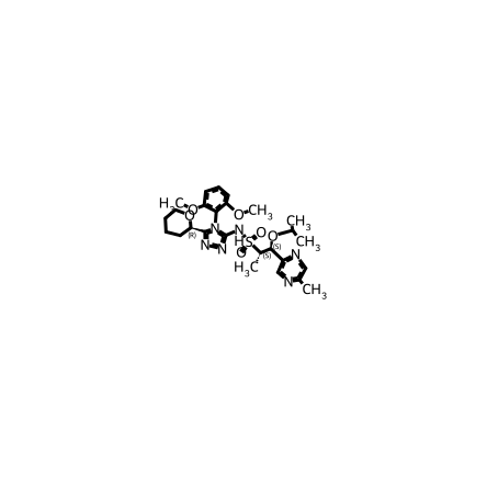 COc1cccc(OC)c1-n1c(NS(=O)(=O)[C@@H](C)[C@@H](OC(C)C)c2cnc(C)cn2)nnc1[C@H]1CCCCO1